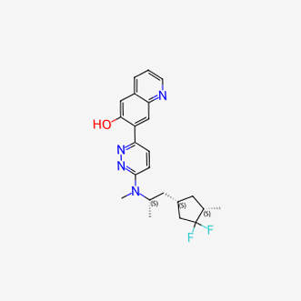 C[C@@H](C[C@@H]1C[C@H](C)C(F)(F)C1)N(C)c1ccc(-c2cc3ncccc3cc2O)nn1